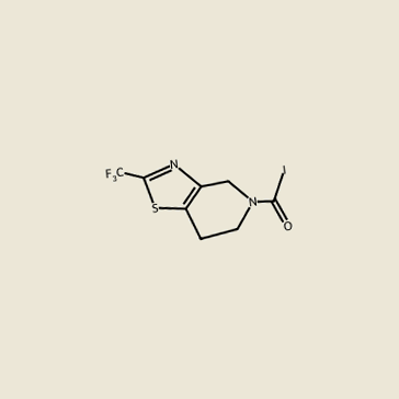 O=C(I)N1CCc2sc(C(F)(F)F)nc2C1